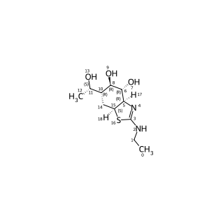 CCNC1=N[C@@H]2[C@@H](O)[C@H](O)[C@@H]([C@H](C)O)C[C@@H]2S1